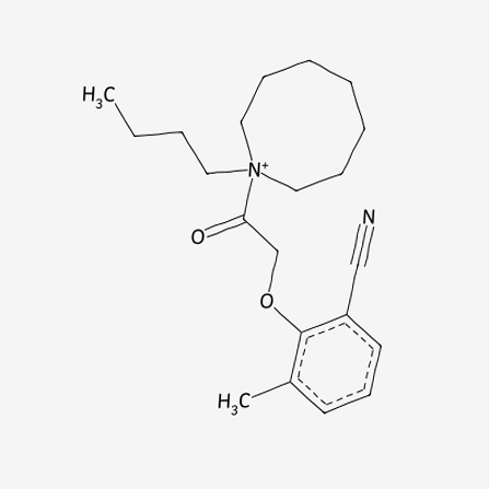 CCCC[N+]1(C(=O)COc2c(C)cccc2C#N)CCCCCCC1